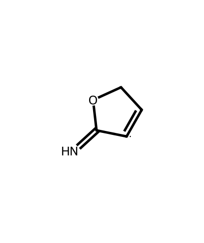 N=C1[C]=CCO1